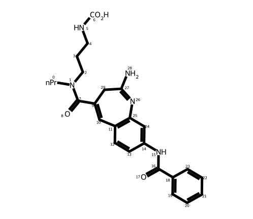 CCCN(CCCNC(=O)O)C(=O)C1=Cc2ccc(NC(=O)c3ccccc3)cc2N=C(N)C1